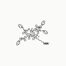 CC(COC(=O)NCCN1CCOCC1)(COC(=O)NCCN1CCOCC1)C(=O)OCC(C)(COC(=O)C(C)(COC(=O)NCCN1CCOCC1)COC(=O)NCCN1CCOCC1)C(=O)OCCCCCCN=[N+]=[N-]